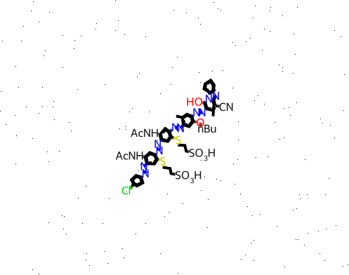 CCCCOc1cc(N=Nc2cc(NC(C)=O)c(N=Nc3cc(NC(C)=O)c(N=Nc4ccc(Cl)cc4)cc3SCCCS(=O)(=O)O)cc2SCCCS(=O)(=O)O)c(C)cc1N=Nc1c(C)c(C#N)c2nc3ccccc3n2c1O